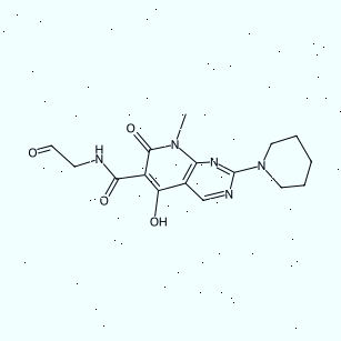 Cn1c(=O)c(C(=O)NCC=O)c(O)c2cnc(N3CCCCC3)nc21